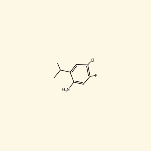 CC(C)c1cc(Cl)c(F)cc1N